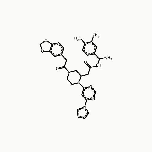 Cc1ccc(C(C)NC(=O)CC2CN(C(=O)Cc3ccc4c(c3)OCO4)CCN2c2cc(-n3ccnc3)ncn2)cc1C